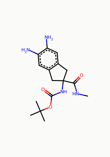 CNC(=O)C1(NC(=O)OC(C)(C)C)Cc2cc(N)c(N)cc2C1